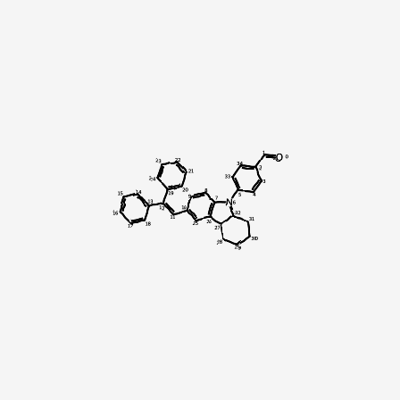 O=Cc1ccc(N2c3ccc(C=C(c4ccccc4)c4ccccc4)cc3C3CCCCC32)cc1